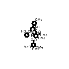 COC(=O)[C@H]1[C@H]2C[C@@H]3c4[nH]c5cc(OC)ccc5c4CCN3C[C@H]2C[C@@H](OC(=O)c2cc(OC)c(OC)c(OC)c2)[C@@H]1OC.Cc1ccccc1O